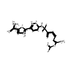 C=C(/C=C\C=C(/N)OC(F)F)C(C)(C)Nc1ccc(-c2ncc(C(N)=O)s2)nn1